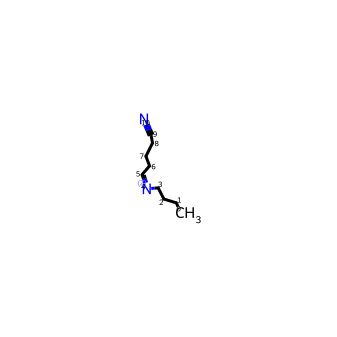 CCCC/N=C\CCCC#N